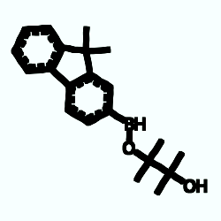 CC1(C)c2ccccc2-c2ccc(BOC(C)(C)C(C)(C)O)cc21